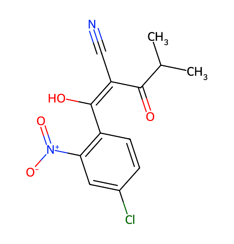 CC(C)C(=O)C(C#N)=C(O)c1ccc(Cl)cc1[N+](=O)[O-]